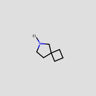 CCN1CCC2(CCC2)C1